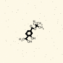 CC(O)c1ccc(C(=O)OC(C)(C)C)cc1O